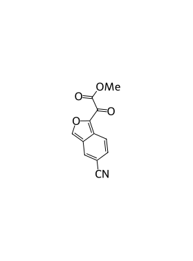 COC(=O)C(=O)c1occ2cc(C#N)ccc12